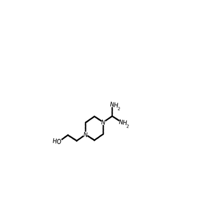 NC(N)N1CCN(CCO)CC1